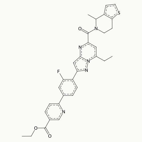 CCOC(=O)c1ccc(-c2ccc(-c3cc4nc(C(=O)N5CCc6sccc6C5C)cc(CC)n4n3)c(F)c2)nc1